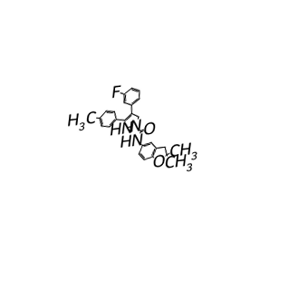 Cc1ccc(C2=C(c3cccc(F)c3)CN(C(=O)Nc3ccc4c(c3)CC(C)(C)O4)N2)cc1